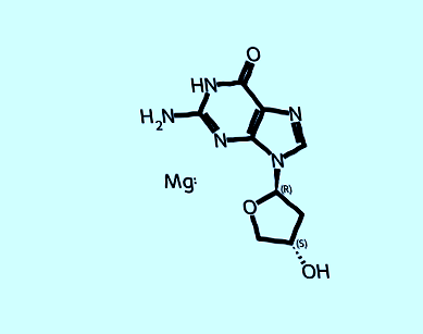 Nc1nc2c(ncn2[C@H]2C[C@H](O)CO2)c(=O)[nH]1.[Mg]